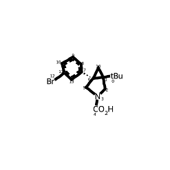 CC(C)(C)C12CN(C(=O)O)C[C@@]1(c1cccc(Br)c1)C2